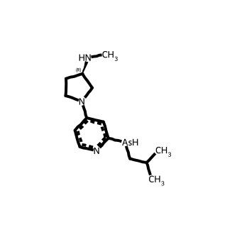 CN[C@@H]1CCN(c2ccnc([AsH]CC(C)C)c2)C1